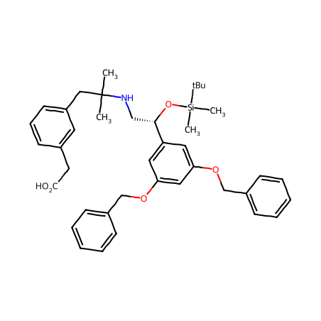 CC(C)(Cc1cccc(CC(=O)O)c1)NC[C@H](O[Si](C)(C)C(C)(C)C)c1cc(OCc2ccccc2)cc(OCc2ccccc2)c1